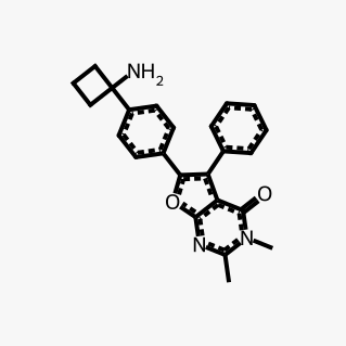 Cc1nc2oc(-c3ccc(C4(N)CCC4)cc3)c(-c3ccccc3)c2c(=O)n1C